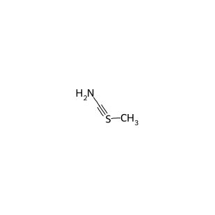 CS#CN